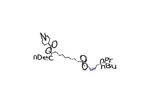 CCCCCCCCCCC(CCCCCCCCC(=O)OC/C=C\CC(CCC)CCCC)OC(=O)C1CCN(C)CC1